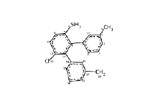 Cc1cccc(-c2c([SiH3])ccc(Cl)c2-c2cccc(C)c2)c1